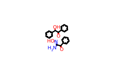 NC(=NO)C(=O)c1ccccc1.O=C(c1ccccc1)C(O)c1ccccc1